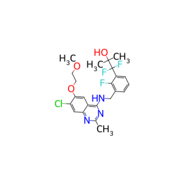 COCCOc1cc2c(NCc3cccc(C(F)(F)C(C)(C)O)c3F)nc(C)nc2cc1Cl